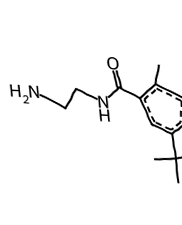 Cc1ccc(C(C)(C)C)cc1C(=O)NCCN